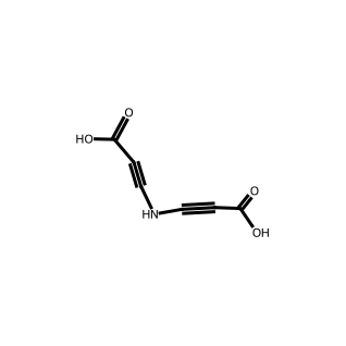 O=C(O)C#CNC#CC(=O)O